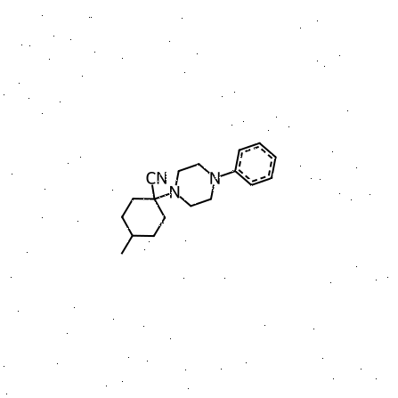 CC1CCC(C#N)(N2CCN(c3ccccc3)CC2)CC1